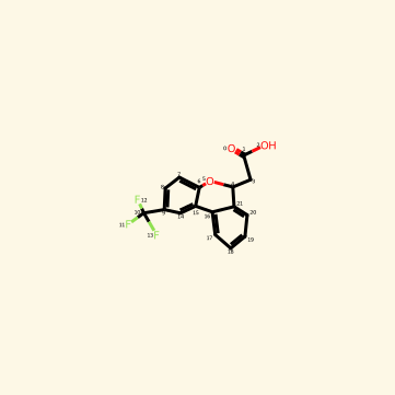 O=C(O)CC1Oc2ccc(C(F)(F)F)cc2-c2ccccc21